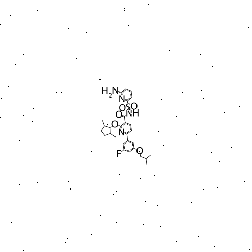 CC(C)COc1cc(F)cc(-c2ccc(C(=O)NS(=O)(=O)c3cccc(N)n3)c(OC3C(C)CCC3C)n2)c1